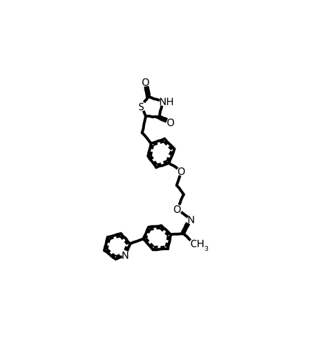 C/C(=N/OCCOc1ccc(CC2SC(=O)NC2=O)cc1)c1ccc(-c2ccccn2)cc1